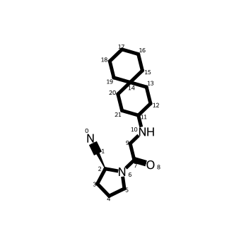 N#C[C@@H]1CCCN1C(=O)CNC1CCC2(CCCCC2)CC1